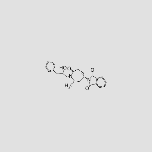 CC1C[C@H](N2C(=O)c3ccccc3C2=O)SCC(=O)N1CC(O)Cc1ccccc1